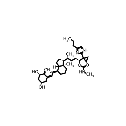 C=C1/C(=C\C=C2/CCC[C@]3(C)[C@@H]([C@H](C)CC[C@H](OC(=O)NC)C4(c5nc(CCC)c[nH]5)CC4)CC[C@@H]23)C[C@@H](O)C[C@@H]1O